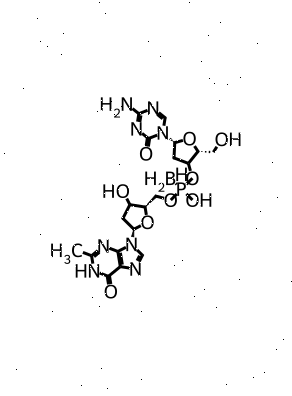 B[PH](O)(OC[C@H]1O[C@@H](n2cnc3c(=O)[nH]c(C)nc32)CC1O)OC1C[C@H](n2cnc(N)nc2=O)O[C@@H]1CO